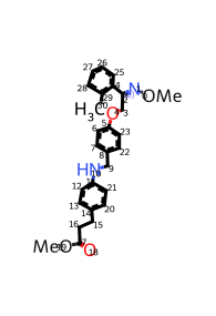 CO/N=C(\COc1ccc(CNc2ccc(CCC(=O)OC)cc2)cc1)c1ccccc1C